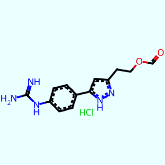 Cl.N=C(N)Nc1ccc(-c2cc(CCOC=O)n[nH]2)cc1